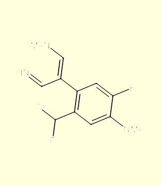 CN/C=C(\C=N)c1cc(F)c(NC)cc1C(F)F